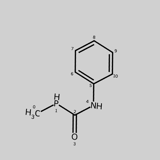 CPC(=O)Nc1ccccc1